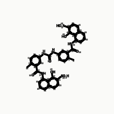 Cc1ccc(NC(=O)Nc2ccc(C)c(C(=O)Nc3cccc4ccc(S(=O)(=O)O)c(O)c34)c2)cc1C(=O)Nc1cccc2ccc(S(=O)(=O)O)c(O)c12